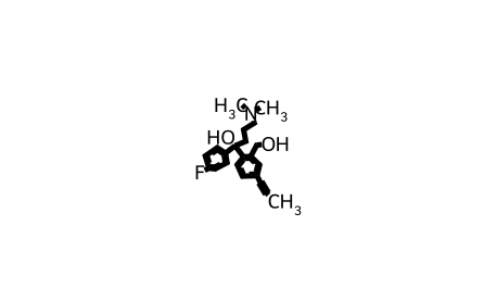 CC#Cc1ccc(C(O)(CCCN(C)C)c2ccc(F)cc2)c(CO)c1